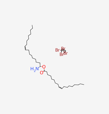 CCCCCCCC/C=C\CCCCCCCC(=O)OC(N)CCCCCCC/C=C\CCCCCCCC.[Br][Pb]([Br])([Br])[Br]